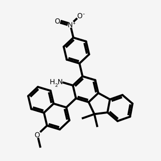 COc1ccc(-c2c(N)c(-c3ccc([N+](=O)[O-])cc3)cc3c2C(C)(C)c2ccccc2-3)c2ccccc12